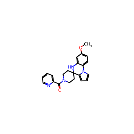 COc1ccc2c(c1)NC1(CCN(C(=O)c3ccccn3)CC1)c1cccn1-2